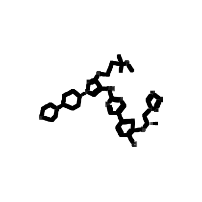 COC(C)(C)CCOc1nn([C@H]2CC[C@H](N3CCOCC3)CC2)cc1Nc1ncc(-c2ccc(Cl)c(O[C@@H](C)Cn3cnnn3)c2)cn1